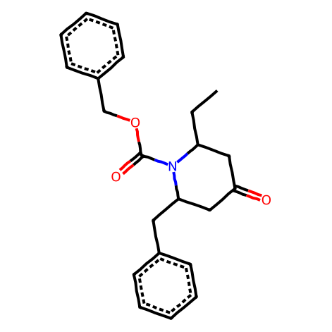 CCC1CC(=O)CC(Cc2ccccc2)N1C(=O)OCc1ccccc1